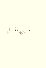 Cc1[nH]c2ccc(C(=O)N3CCC4(CC3)CC(=O)c3cc(Cl)ccc3O4)cc2c1C